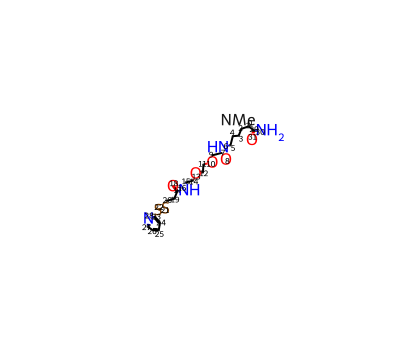 CNC(CCCCNC(=O)COCCOCCNC(=O)CCSSc1ccccn1)C(N)=O